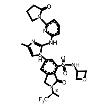 CC1=C[SH](c2cc3c(c(S(=O)(=O)NC4COC4)c2)C(=O)N([C@@H](C)C(F)(F)F)C3)C(Nc2cccc(N3CCCC3=O)n2)=N1